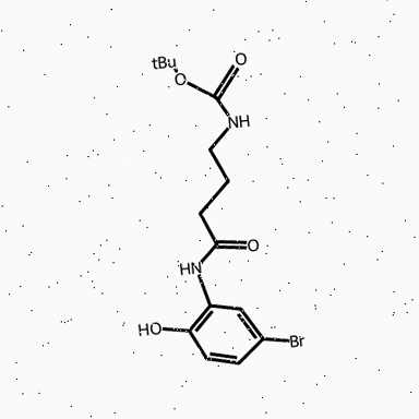 CC(C)(C)OC(=O)NCCCC(=O)Nc1cc(Br)ccc1O